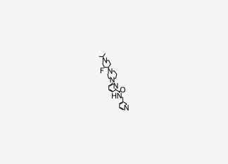 CC(C)N1CCC(N2CCCN(c3cccc(C(=O)NCc4cccnc4)n3)CC2)C(F)C1